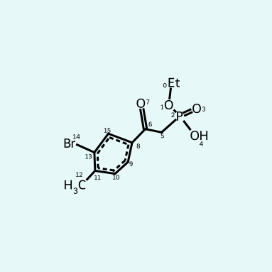 CCOP(=O)(O)CC(=O)c1ccc(C)c(Br)c1